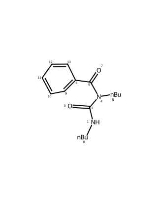 CCCCNC(=O)N(CCCC)C(=O)c1ccccc1